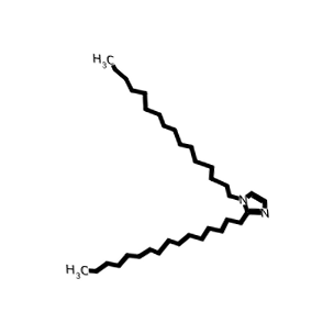 CCCCCCCCCCCCCCCCc1nccn1CCCCCCCCCCCCCCCC